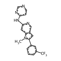 Cn1c(-c2cccc(C(F)(F)F)c2)cc2cnc(Nc3ccncn3)cc21